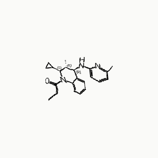 CCC(=O)N1c2ccccc2[C@H](Nc2cccc(C)n2)[C@@H](C)[C@@H]1C1CC1